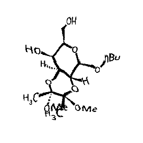 CCCCO[C@@H]1O[C@H](CO)[C@H](O)[C@@H]2O[C@@](C)(OC)[C@](C)(OC)O[C@@H]12